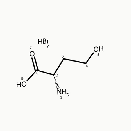 Br.N[C@@H](CCO)C(=O)O